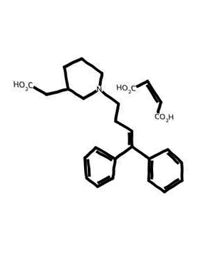 O=C(O)/C=C\C(=O)O.O=C(O)CC1CCCN(CCC=C(c2ccccc2)c2ccccc2)C1